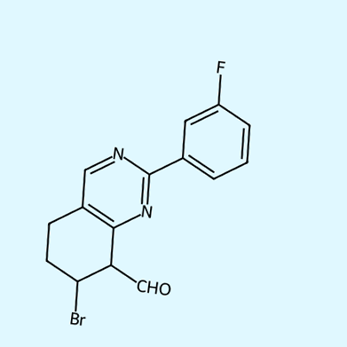 O=CC1c2nc(-c3cccc(F)c3)ncc2CCC1Br